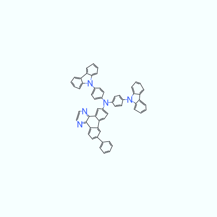 c1ccc(-c2ccc3c(c2)c2ccc(N(c4ccc(-n5c6ccccc6c6ccccc65)cc4)c4ccc(-n5c6ccccc6c6ccccc65)cc4)cc2c2nccnc32)cc1